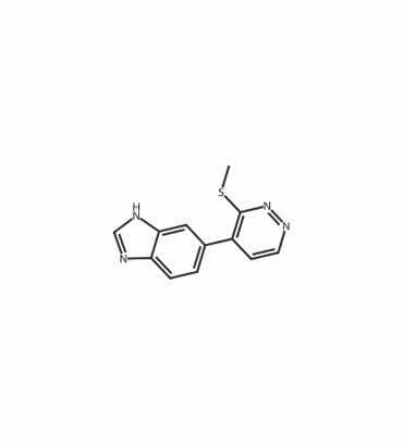 CSc1nnccc1-c1ccc2nc[nH]c2c1